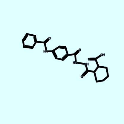 O=C(NNC(=O)C1CCCCC1C(=O)O)c1ccc(NC(=O)c2ccccc2)cc1